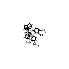 Nc1ccc(OC2(Oc3ccc(N)c(O)c3)C3CC4CC(C3)CC2(C23CC5CC(CC(C5)C2)C3)C4)cc1O